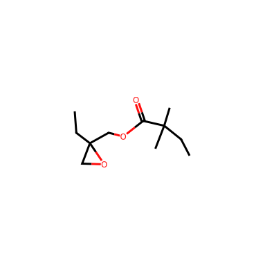 CCC1(COC(=O)C(C)(C)CC)CO1